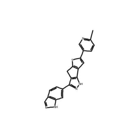 Cc1ccc(-c2cc3c(s2)Cc2c(-c4ccc5cn[nH]c5c4)n[nH]c2-3)cn1